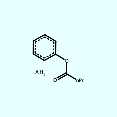 CCCC(=O)Oc1ccccc1.[AlH3]